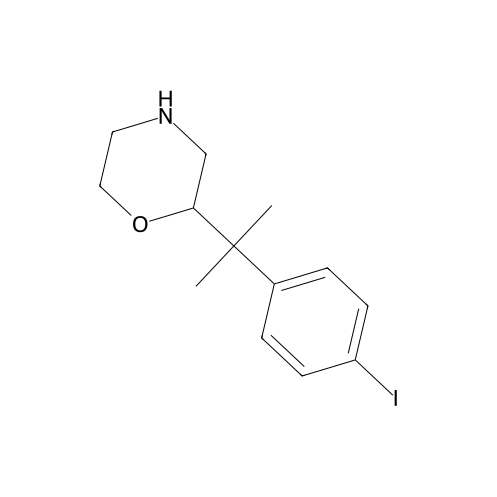 CC(C)(c1ccc(I)cc1)C1CNCCO1